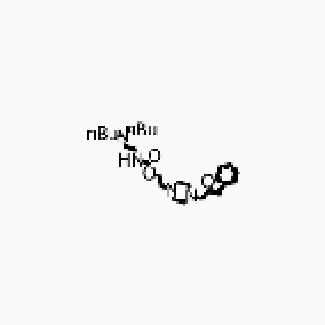 CCCCN(CCCC)CCNC(=O)OCCN1CCN(Cc2cc3ccccc3o2)CC1